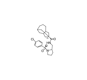 O=C(NCC1CCCN1S(=O)(=O)c1ccc(Cl)cc1)[C@@]12CC3CCCC(C1)C(C3)C2